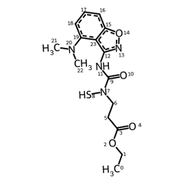 CCOC(=O)CCN(S)C(=O)Nc1noc2cccc(N(C)C)c12